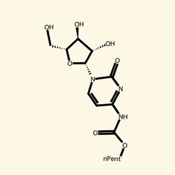 CCCCCOC(=O)Nc1ccn([C@@H]2O[C@H](CO)[C@@H](O)[C@@H]2O)c(=O)n1